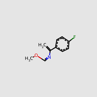 C=C(/N=C\OC)c1ccc(F)cc1